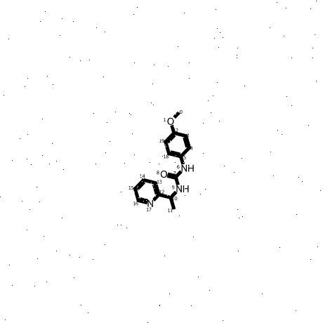 COc1ccc(NC(=O)NC(C)c2ccccn2)cc1